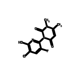 Cn1c(C(F)(F)F)cc(=O)n(-c2nc(O)c(Cl)cc2F)c1=O